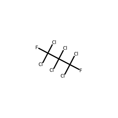 FC(Cl)(Cl)C(Cl)(Cl)C(F)(Cl)Cl